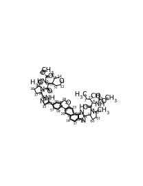 CC[C@H](C)C(NC(=O)OC)C(=O)N1C(c2nc3ccc4cc5c(cc4c3[nH]2)OCc2cc(-c3cnc(C4CC[C@H](C)N4C(=O)[C@@H](NC(=O)OC)C4CCOCC4)[nH]3)ccc2-5)CC[C@@H]1C